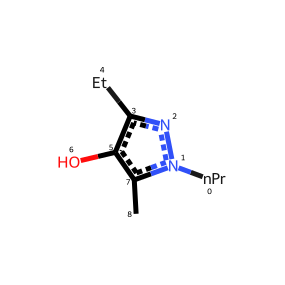 CCCn1nc(CC)c(O)c1C